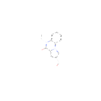 CCn1c(=O)c2cc(C=O)cn2c2ccccc21